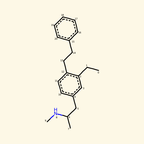 CCc1cc(CC(C)NC)ccc1CCc1ccccc1